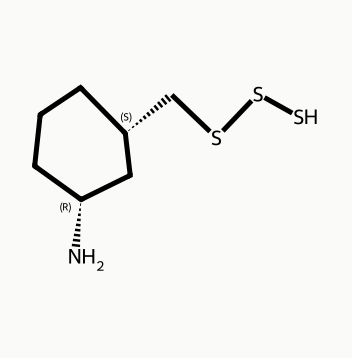 N[C@@H]1CCC[C@H](CSSS)C1